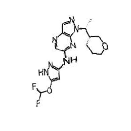 C[C@H]([C@H]1CCCOC1)n1ncc2ncc(Nc3cc(OC(F)F)[nH]n3)nc21